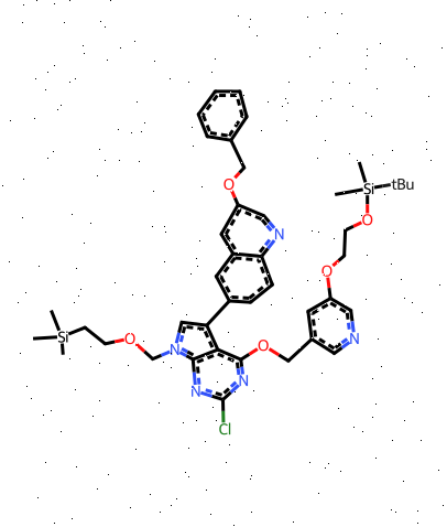 CC(C)(C)[Si](C)(C)OCCOc1cncc(COc2nc(Cl)nc3c2c(-c2ccc4ncc(OCc5ccccc5)cc4c2)cn3COCC[Si](C)(C)C)c1